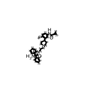 NC(C(=O)NCCCN1CCC(c2cc(NC(=O)C3CC3)ccc2F)CC1)(c1ccccc1)c1ccccc1